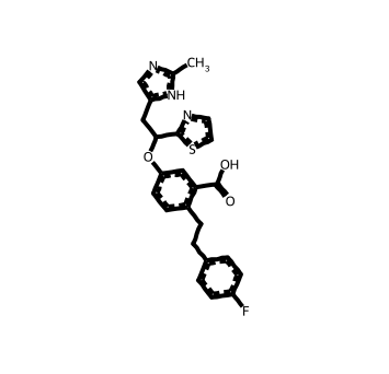 Cc1ncc(CC(Oc2ccc(CCc3ccc(F)cc3)c(C(=O)O)c2)c2nccs2)[nH]1